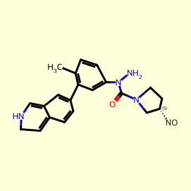 Cc1ccc(N(N)C(=O)N2CC[C@H](N=O)C2)cc1-c1ccc2c(c1)=CNCC=2